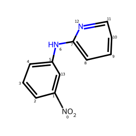 O=[N+]([O-])c1cccc(Nc2ccccn2)c1